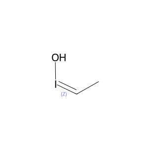 C/C=I\O